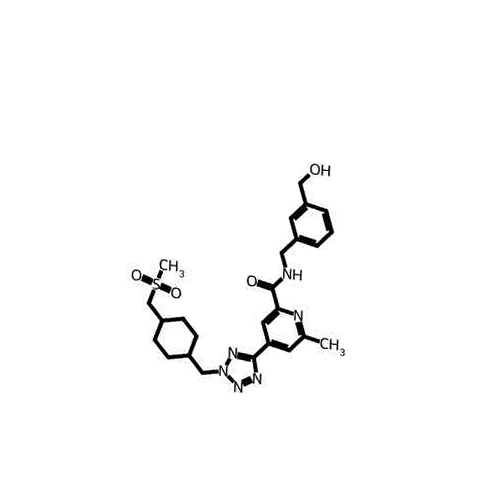 Cc1cc(-c2nnn(CC3CCC(CS(C)(=O)=O)CC3)n2)cc(C(=O)NCc2cccc(CO)c2)n1